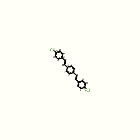 Clc1ccc(C=Cc2ccc(C=Cc3ccc(Cl)cc3)cc2)cc1